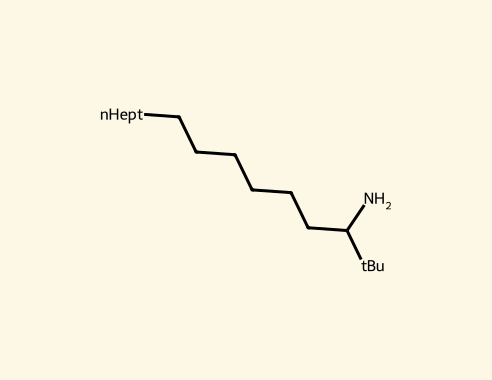 CCCCCCCCCCCCCC(N)C(C)(C)C